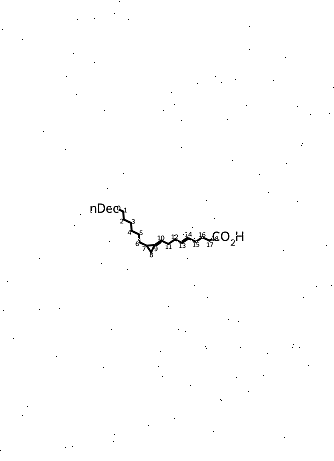 CCCCCCCCCCCCCCCCC1CC1=CCCC=CCCCC(=O)O